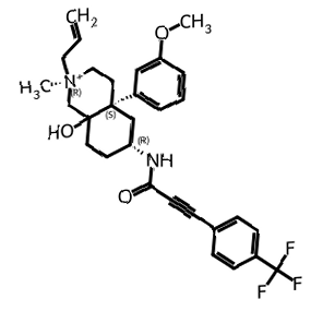 C=CC[N@@+]1(C)CC[C@@]2(c3cccc(OC)c3)C[C@H](NC(=O)C#Cc3ccc(C(F)(F)F)cc3)CCC2(O)C1